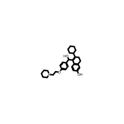 Oc1ccc2c(c1)CCC(C1CCCCC1)=C2C(O)c1ccc(OCCN2CCCCC2)cc1